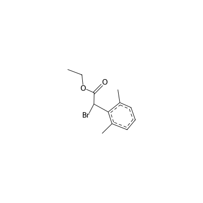 CCOC(=O)C(Br)c1c(C)cccc1C